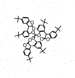 CC(C)(C)c1ccc2c(c1)C(c1cc(C(C)(C)C)ccc1OP(Oc1ccc(C(C)(C)C)cc1C1C(=O)Oc3ccc(C(C)(C)C)cc31)Oc1ccc(C(C)(C)C)cc1[C@@H]1C(=O)Oc3ccc(C(C)(C)C)cc31)C(=O)O2